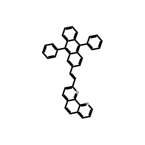 C(=C\c1ccc2ccc3cccnc3c2n1)/c1ccc2c(-c3ccccc3)c3ccccc3c(-c3ccccc3)c2c1